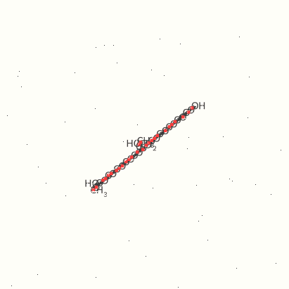 C=C(C)C(=O)O.CCOC(O)COCCOCCOCCOCCOCCOCCOCCOCCOCCOCCOCCOCCOCCOCCOCCOCCOCCOCCOCCOCCOCCOCCO